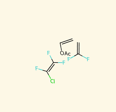 C=C(F)F.C=COC(C)=O.FC(F)=C(F)Cl